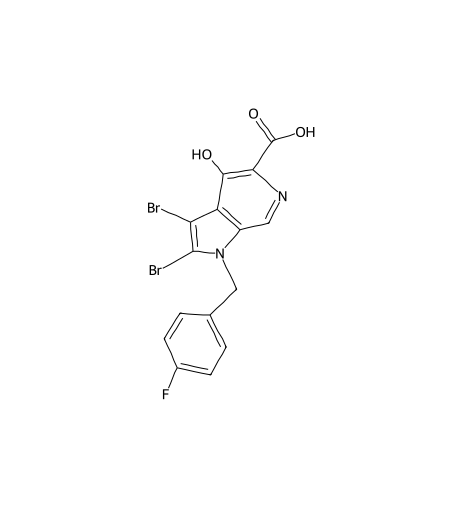 O=C(O)c1ncc2c(c1O)c(Br)c(Br)n2Cc1ccc(F)cc1